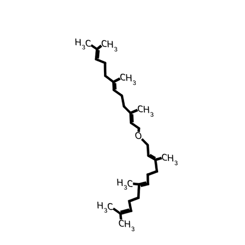 CC(C)=CCC/C(C)=C/CC/C(C)=C/COC/C=C(\C)CC/C=C(\C)CCC=C(C)C